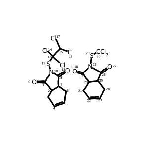 O=C1C2CC=CCC2C(=O)N1SC(Cl)(Cl)C(Cl)Cl.O=C1C2CC=CCC2C(=O)N1SC(Cl)(Cl)Cl